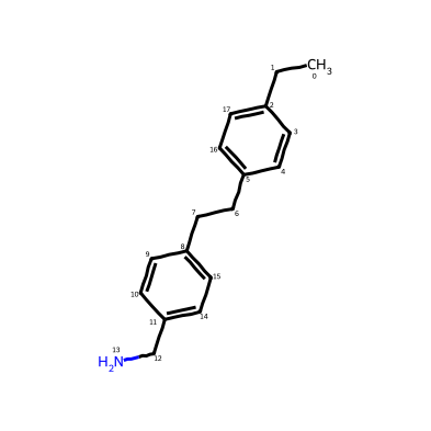 CCc1ccc(CCc2ccc(CN)cc2)cc1